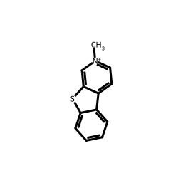 C[n+]1ccc2c(c1)sc1ccccc12